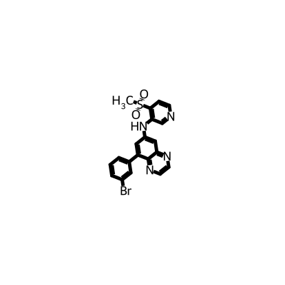 CS(=O)(=O)c1ccncc1Nc1cc(-c2cccc(Br)c2)c2nccnc2c1